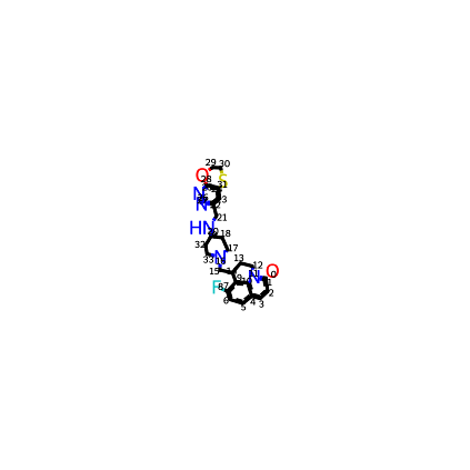 O=c1ccc2ccc(F)c3c2n1CCC3CN1CCC(NCc2cc3c(nn2)OCCS3)CC1